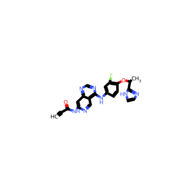 C#CC(=O)Nc1cc2ncnc(Nc3ccc(OC(C)c4ncc[nH]4)c(F)c3)c2cn1